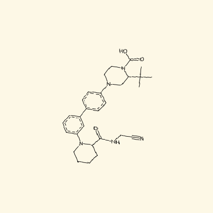 CC(C)(C)C1CN(c2ccc(-c3cccc(N4CCCCC4C(=O)NCC#N)c3)cc2)CCN1C(=O)O